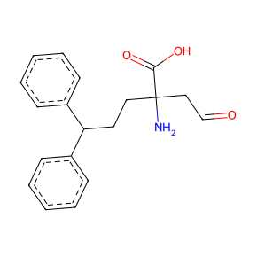 NC(CC=O)(CCC(c1ccccc1)c1ccccc1)C(=O)O